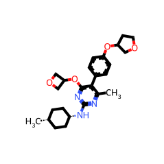 Cc1nc(N[C@H]2CC[C@@H](C)CC2)nc(OC2COC2)c1-c1ccc(OC2CCOC2)cc1